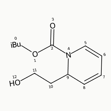 CCC(C)OC(=O)N1C=CC=CC1CCO